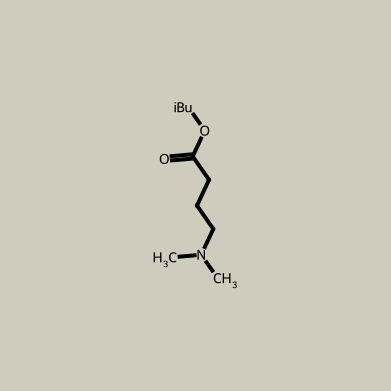 CCC(C)OC(=O)CCCN(C)C